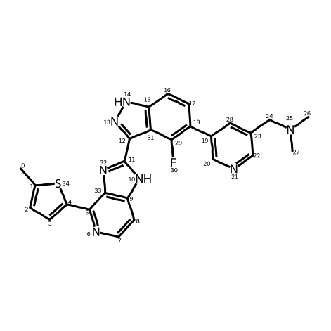 Cc1ccc(-c2nccc3[nH]c(-c4n[nH]c5ccc(-c6cncc(CN(C)C)c6)c(F)c45)nc23)s1